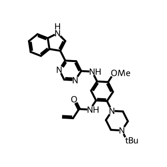 C=CC(=O)Nc1cc(Nc2cc(-c3c[nH]c4ccccc34)ncn2)c(OC)cc1N1CCN(C(C)(C)C)CC1